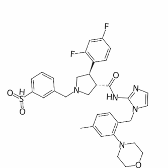 Cc1ccc(Cn2ccnc2NC(=O)[C@@H]2CN(Cc3cccc([SH](=O)=O)c3)C[C@H]2c2ccc(F)cc2F)c(N2CCOCC2)c1